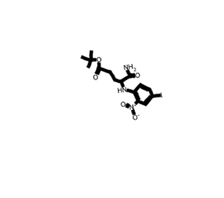 CC(C)(C)OC(=O)CCC(Nc1ccc(I)cc1[N+](=O)[O-])C(N)=O